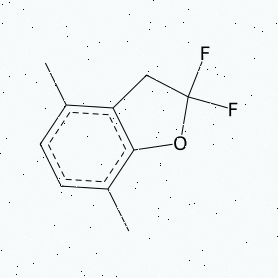 Cc1ccc(C)c2c1CC(F)(F)O2